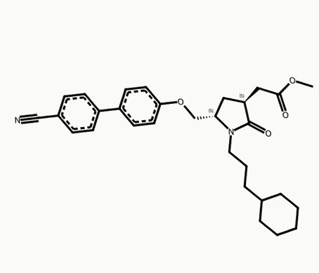 COC(=O)C[C@@H]1C[C@@H](COc2ccc(-c3ccc(C#N)cc3)cc2)N(CCCC2CCCCC2)C1=O